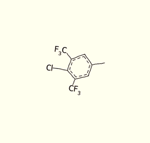 Cc1cc(C(F)(F)F)c(Cl)c(C(F)(F)F)c1